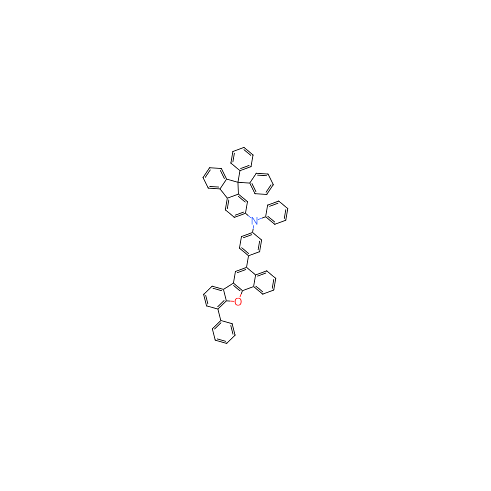 c1ccc(-c2cccc3c2oc2c4ccccc4c(-c4ccc(N(c5ccccc5)c5ccc6c(c5)C(c5ccccc5)(c5ccccc5)c5ccccc5-6)cc4)cc32)cc1